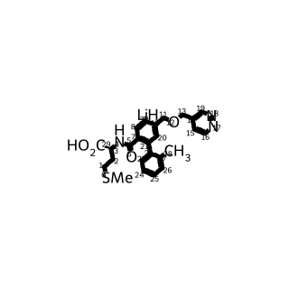 CSCC[C@H](NC(=O)c1ccc(COCc2ccnnc2)cc1-c1ccccc1C)C(=O)O.[LiH]